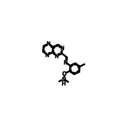 Cc1ccc(O[SiH](C)C)c(N=Cc2ncc3nccnc3n2)c1